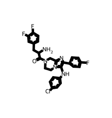 NC(Cc1ccc(F)c(F)c1)C(=O)N1CCn2c(nc(-c3ccc(F)cc3)c2Nc2ccc(Cl)cc2)C1